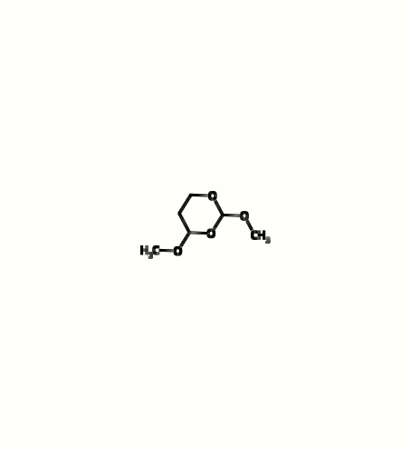 COC1CCOC(OC)O1